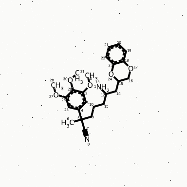 COc1cc(C(C)(C#N)CCCC(N)CC2COc3ccccc3O2)cc(OC)c1OC